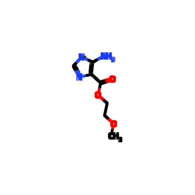 COCCOC(=O)C1=C(N)[N]C=N1